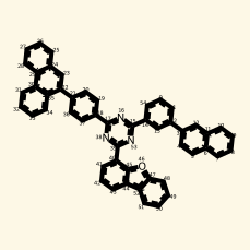 c1cc(-c2ccc3ccccc3c2)cc(-c2nc(-c3ccc(-c4cc5ccccc5c5ccccc45)cc3)nc(-c3cccc4c3oc3ccccc34)n2)c1